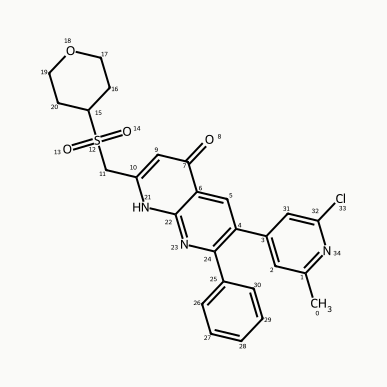 Cc1cc(-c2cc3c(=O)cc(CS(=O)(=O)C4CCOCC4)[nH]c3nc2-c2ccccc2)cc(Cl)n1